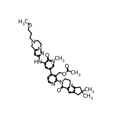 COCCCN1CCn2nc(Nc3cc(-c4ccnc(N5CCn6c(cc7c6CC(C)(C)C7)C5=O)c4COC(C)=O)cn(C)c3=O)cc2C1